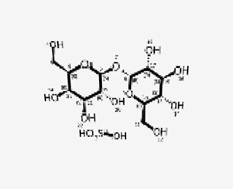 O=S(=O)(O)O.OC[C@H]1O[C@@H](O[C@H]2O[C@H](CO)[C@@H](O)[C@H](O)[C@H]2O)[C@H](O)[C@@H](O)[C@H]1O